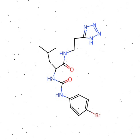 CC(C)CC(NC(=O)Nc1ccc(Br)cc1)C(=O)NCCc1nnn[nH]1